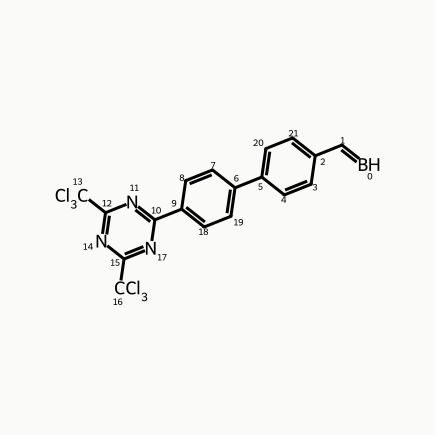 B=Cc1ccc(-c2ccc(-c3nc(C(Cl)(Cl)Cl)nc(C(Cl)(Cl)Cl)n3)cc2)cc1